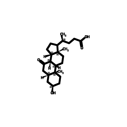 C[C@@H](CCC(=O)O)C1CC[C@H]2[C@@H]3C(=O)C[C@@H]4C[C@H](O)CC[C@]4(C)[C@H]3CC[C@]12C